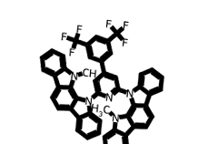 Cn1c2ccccc2c2ccc3c4ccccc4n(-c4cc(-c5cc(C(F)(F)F)cc(C(F)(F)F)c5)cc(-n5c6ccccc6c6ccc7c8ccccc8n(C)c7c65)n4)c3c21